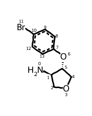 N[C@@H]1COC[C@H]1Oc1ccc(Br)cc1